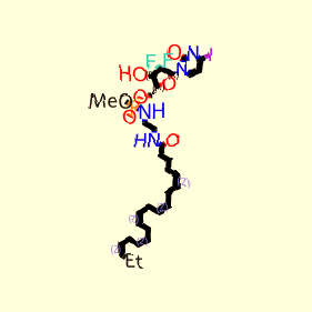 CC/C=C\C/C=C\C/C=C\C/C=C\C/C=C\CCCC(=O)NCCNP(=O)(OC)OC[C@H]1O[C@@H](n2ccc(I)nc2=O)C(F)(F)[C@@H]1O